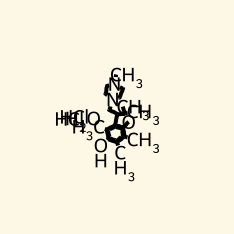 Cc1c(C)c2c(c(C)c1O)C(CN1CCN(C)CC1)C(C)(C)O2.Cl.Cl.O